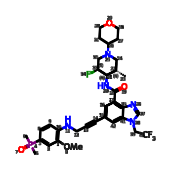 COc1cc(P(C)(C)=O)ccc1NCC#Cc1cc(C(=O)N[C@@H]2[C@@H](C)CN(C3CCOCC3)C[C@@H]2F)c2ncn(CC(F)(F)F)c2c1